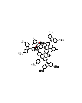 Cc1cc(C)c(N2c3cc4c(cc3B3c5cc6c(cc5Oc5cc(-n7c8ccc(C(C)(C)C)cc8c8cc(C(C)(C)C)ccc87)cc2c53)N(c2c(C)cc(C)cc2C)c2cc(-n3c5ccc(C(C)(C)C)cc5c5cc(C(C)(C)C)ccc53)cc3c2B6c2cc(C(C)(C)C)ccc2O3)B2c3cc(C(C)(C)C)ccc3N(c3ccc(C(C)(C)C)cc3)c3cc(-n5c6ccc(C(C)(C)C)cc6c6cc(C(C)(C)C)ccc65)cc(c32)N4)c(C)c1